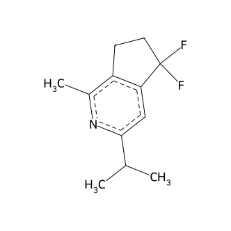 Cc1nc(C(C)C)cc2c1CCC2(F)F